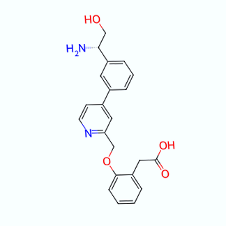 N[C@H](CO)c1cccc(-c2ccnc(COc3ccccc3CC(=O)O)c2)c1